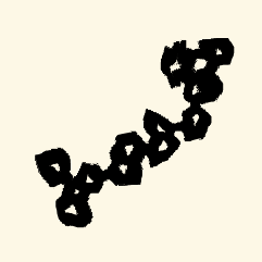 c1ccc(-n2c3ccccc3c3cc(-c4cccc5c(-c6cccc7c(-c8cccc(-c9ccc%10c%11ccccc%11c%11nccnc%11c%10c9)c8)cccc67)cccc45)ccc32)cc1